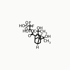 CC(C)(O)C12CC3C[C@H](C1)CC(C(C)(C)O)(C2)C3C(=O)OC(O)C(F)(F)S(=O)(=O)O